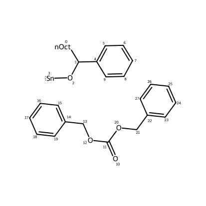 CCCCCCCCC([O][Sn])c1ccccc1.O=C(OCc1ccccc1)OCc1ccccc1